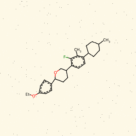 CCOc1ccc(C2CCC(c3ccc(C4CCC(C)CC4)c(C)c3F)CO2)cc1